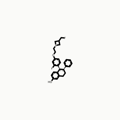 Oc1ccc2c(c1)CC[C@H](c1ccccc1)[C@@H]2c1ccc(OCCN2CC(CF)C2)cc1F